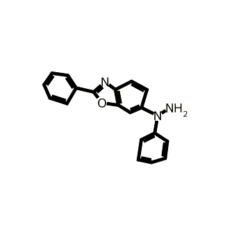 NN(c1ccccc1)c1ccc2nc(-c3ccccc3)oc2c1